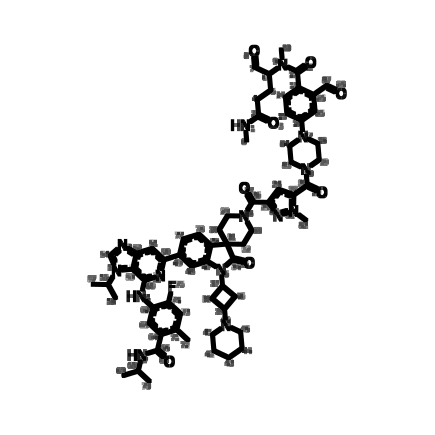 CNC(=O)CCC(C=O)N(C)C(=O)c1ccc(N2CCN(C(=O)c3cc(C(=O)N4CCC5(CC4)C(=O)N(C4CC(N6CCCCC6)C4)c4cc(-c6cc7ncn(C(C)C)c7c(Nc7cc(C(=O)NC(C)C)c(C)cc7F)n6)ccc45)nn3C)CC2)cc1C=O